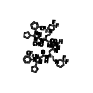 O=C(N[C@@H](CCN1CCCC(F)(F)C1)Cc1nnn[nH]1)c1nc(C2CCCC2)n(-c2ccccc2C(F)(F)F)n1.O=CN(c1nc(C2CCCC2)n(-c2ccccc2C(F)(F)F)n1)[C@@H](CCN1CCC(F)(F)C1)CC(=O)O